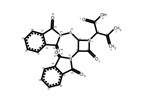 C=C(C)C(C(=O)O)N1C(=O)C(N2C(=O)c3ccccc3C2=O)C1SN1C(=O)c2ccccc2C1=O